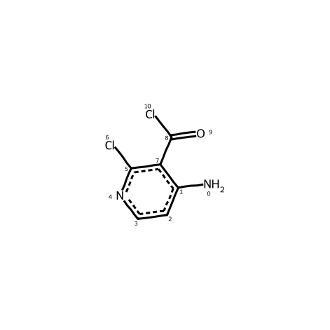 Nc1ccnc(Cl)c1C(=O)Cl